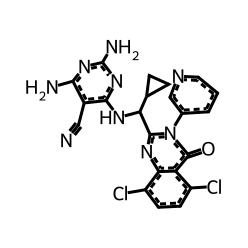 N#Cc1c(N)nc(N)nc1NC(c1nc2c(Cl)ccc(Cl)c2c(=O)n1-c1cccnc1)C1CC1